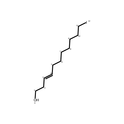 OCC/C=C/CCCCCCCI